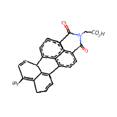 CC(C)C1=C2CC=CC3=C2C(C=C1)c1ccc2c4c(ccc3c14)C(=O)N(CC(=O)O)C2=O